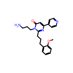 COc1ccccc1CCCc1nc(-c2ccncc2)cc(=O)n1CCCN